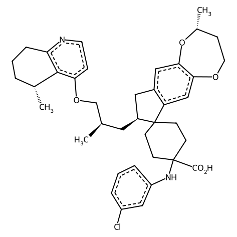 C[C@@H](COc1ccnc2c1[C@H](C)CCC2)C[C@H]1Cc2cc3c(cc2C12CCC(Nc1cccc(Cl)c1)(C(=O)O)CC2)OCC[C@@H](C)O3